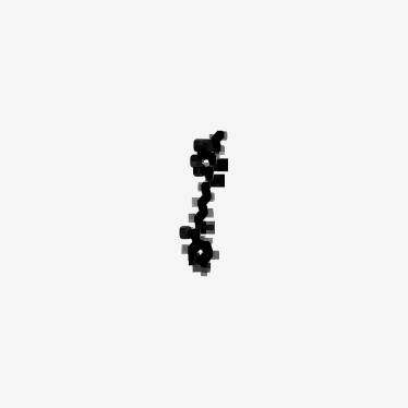 CCC[C@H](NC(=O)NCCCCCNC(=O)c1ccc([18F])nc1)C(=O)O